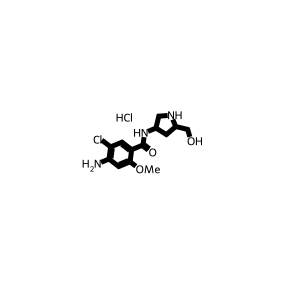 COc1cc(N)c(Cl)cc1C(=O)NC1CNC(CO)C1.Cl